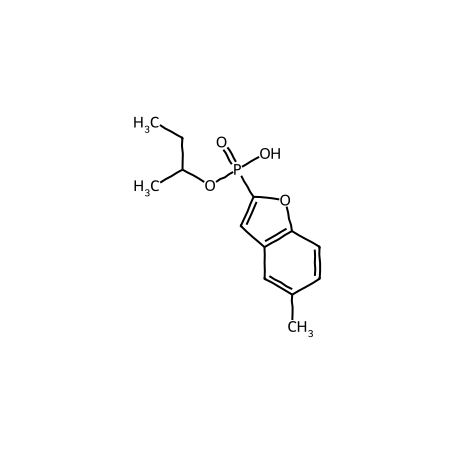 CCC(C)OP(=O)(O)c1cc2cc(C)ccc2o1